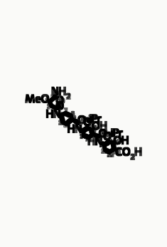 COC(CC(=O)Nc1ccc(C(=O)Nc2ccc(C(=O)Nc3ccc(C(=O)O)c(O)c3OC(C)C)c(O)c2OC(C)C)cc1)C(N)=O